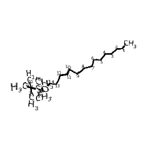 CCCCCCCCCCCCCCCO[Si](C)(C)C(C)(C)C